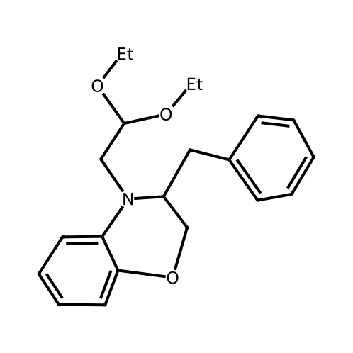 CCOC(CN1c2ccccc2OCC1Cc1ccccc1)OCC